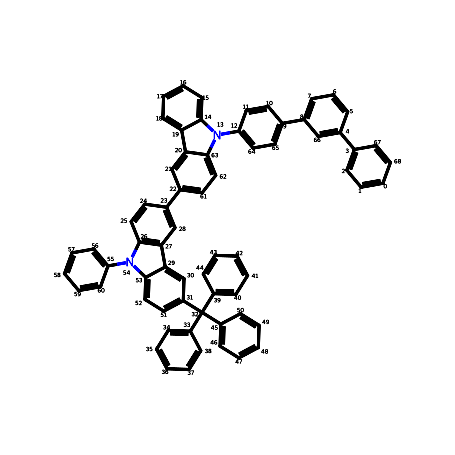 c1ccc(-c2cccc(-c3ccc(-n4c5ccccc5c5cc(-c6ccc7c(c6)c6cc(C(c8ccccc8)(c8ccccc8)c8ccccc8)ccc6n7-c6ccccc6)ccc54)cc3)c2)cc1